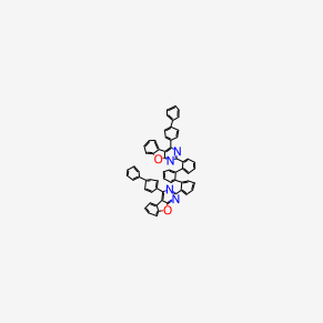 c1ccc(-c2ccc(-c3nc(-c4ccccc4-c4ccccc4-c4ccccc4-c4nc(-c5ccc(-c6ccccc6)cc5)c5c(n4)oc4ccccc45)nc4oc5ccccc5c34)cc2)cc1